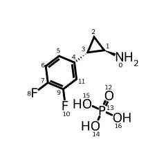 N[C@@H]1C[C@H]1c1ccc(F)c(F)c1.O=P(O)(O)O